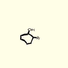 CC(C)C1CC=CC=C1O